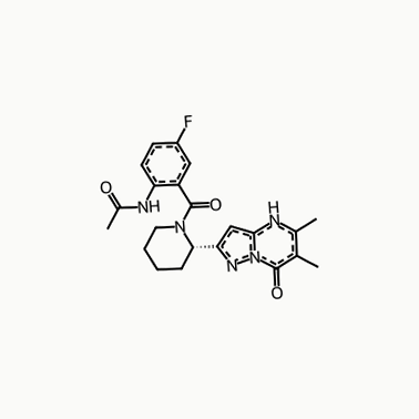 CC(=O)Nc1ccc(F)cc1C(=O)N1CCCC[C@H]1c1cc2[nH]c(C)c(C)c(=O)n2n1